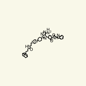 COc1cc(-c2nn(C3CCC(N4CCN(CCNC(=O)CCCC56CC7CC(CC(C7)C5)C6)CC4)CC3)c3ncnc(N)c23)ccc1NC(=O)c1cc2ccccc2n1C